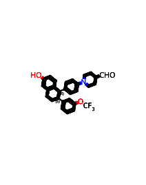 O=CC1CCN(c2ccc([C@@H]3c4ccc(O)cc4CC[C@@H]3c3cccc(OC(F)(F)F)c3)cc2)CC1